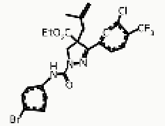 C=C(C)CC1(C(=O)OCC)CN(C(=O)Nc2ccc(Br)cc2)N=C1c1ccc(C(F)(F)F)c(Cl)c1